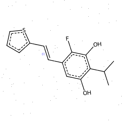 CC(C)c1c(O)cc(/C=C/c2cccs2)c(F)c1O